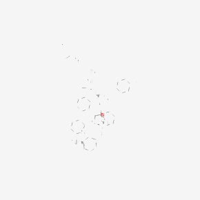 COc1ccc(CN(Cc2ccc(OC)cc2)S(=O)(=O)c2c(S(=O)(=O)NC[C@@]3(N)CCN(C(=O)OC(C)(C)C)C3)ccc(-c3ccc(N)nc3)c2-c2nnn(Cc3ccc(OC)cc3)n2)cc1